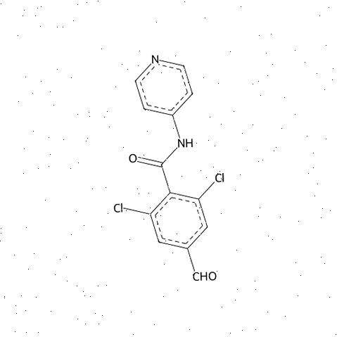 O=Cc1cc(Cl)c(C(=O)Nc2ccncc2)c(Cl)c1